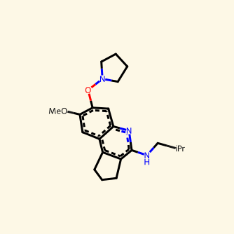 COc1cc2c3c(c(NCC(C)C)nc2cc1ON1CCCC1)CCC3